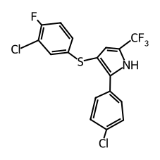 Fc1ccc(Sc2cc(C(F)(F)F)[nH]c2-c2ccc(Cl)cc2)cc1Cl